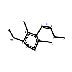 CC/C=C\c1c(C)ccc(CC)c1C